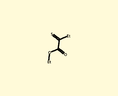 CCOC(=O)C(=S)CC